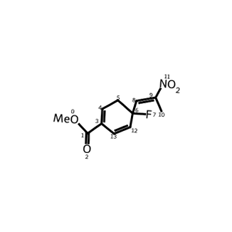 COC(=O)C1=CCC(F)(C=C(C)[N+](=O)[O-])C=C1